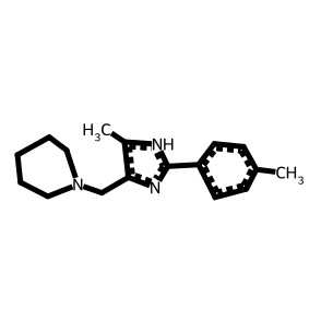 Cc1ccc(-c2nc(CN3CCCCC3)c(C)[nH]2)cc1